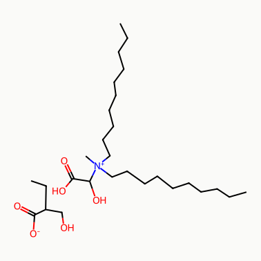 CCC(CO)C(=O)[O-].CCCCCCCCCC[N+](C)(CCCCCCCCCC)C(O)C(=O)O